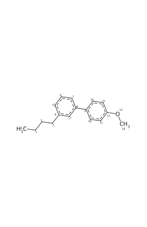 CCCCc1[c]ccc(-c2ccc(OC)cc2)c1